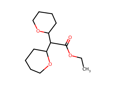 CCOC(=O)C(C1CCCCO1)C1CCCCO1